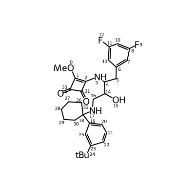 COc1c(NC(Cc2cc(F)cc(F)c2)C(O)CNC2(c3cccc(C(C)(C)C)c3)CCCCC2)c(=O)c1=O